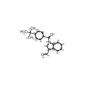 CC(C)(C)c1ccc(C(=O)n2cc(C=O)c3ccccc32)cc1